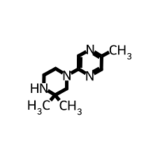 Cc1cnc(N2CCNC(C)(C)C2)cn1